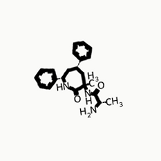 C[C@H](N)C(=O)N[C@@]1(C)C[C@@H](c2ccccc2)C[C@@H](c2ccccc2)NC1=O